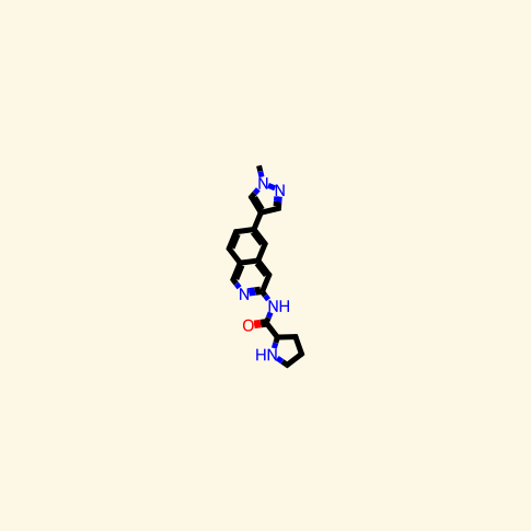 Cn1cc(-c2ccc3cnc(NC(=O)C4CCCN4)cc3c2)cn1